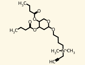 C#CC[N+](C)(C)CCCCOC1CC(OC(=O)CCC)C(OC(=O)CCC)CO1